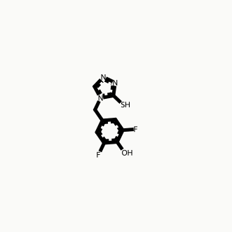 Oc1c(F)cc(Cn2cnnc2S)cc1F